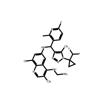 Cc1nc(F)ccc1C(Nc1cc(Cl)c2ncc(C#N)c(NCC(C)(C)C)c2c1)c1nnn(C2(C(F)F)CC2)c1C#N